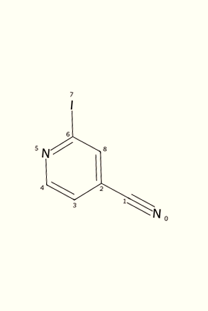 N#Cc1ccnc(I)c1